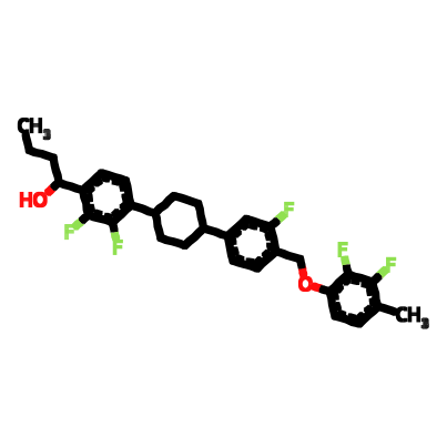 CCCC(O)c1ccc(C2CCC(c3ccc(COc4ccc(C)c(F)c4F)c(F)c3)CC2)c(F)c1F